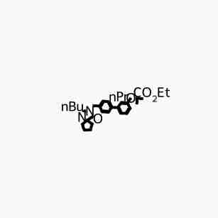 CCCCC1=NC2(CCCC2)C(=O)N1Cc1ccc(-c2cccc(OC(C)(C)C(=O)OCC)c2)c(CCC)c1